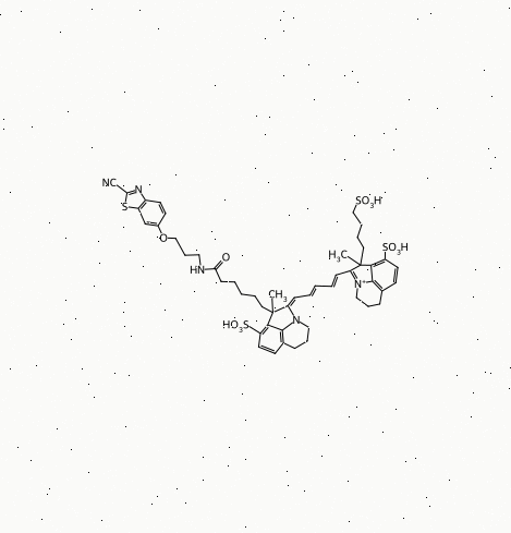 CC1(CCCCS(=O)(=O)O)C(/C=C/C=C/C=C2\N3CCCc4ccc(S(=O)(=O)O)c(c43)C2(C)CCCCCC(=O)NCCCOc2ccc3nc(C#N)sc3c2)=[N+]2CCCc3ccc(S(=O)(=O)O)c1c32